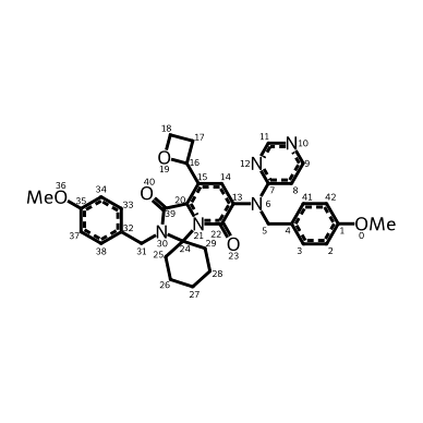 COc1ccc(CN(c2ccncn2)c2cc(C3CCO3)c3n(c2=O)C2(CCCCC2)N(Cc2ccc(OC)cc2)C3=O)cc1